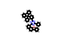 c1ccc(-c2nc(-c3cccc(C4(c5ccccc5)c5ccccc5-c5ccccc54)c3)nc(-c3cccc4ccc5c6ccccc6oc5c34)n2)cc1